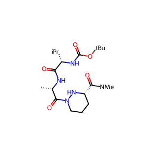 CNC(=O)[C@@H]1CCCN(C(=O)[C@H](C)NC(=O)[C@@H](NC(=O)OC(C)(C)C)C(C)C)N1